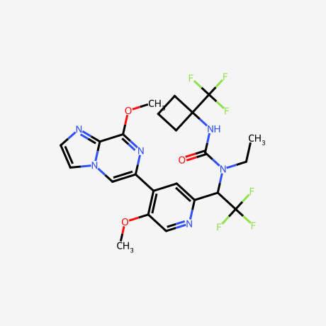 CCN(C(=O)NC1(C(F)(F)F)CCC1)C(c1cc(-c2cn3ccnc3c(OC)n2)c(OC)cn1)C(F)(F)F